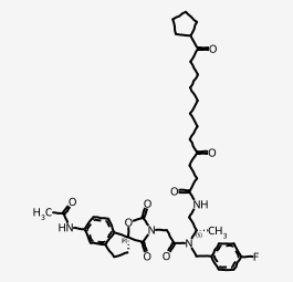 CC(=O)Nc1ccc2c(c1)CC[C@@]21OC(=O)N(CC(=O)N(Cc2ccc(F)cc2)[C@@H](C)CNC(=O)CCC(=O)CCCCCCCC(=O)C2CCCC2)C1=O